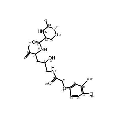 C=C(C)C(CC(O)CNC(=O)COc1ccc(Cl)c(F)c1)NC(=O)C1COOC(C)N1